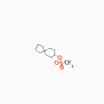 O=S(=O)(OC1CCC2(CCCC2)CC1)C(F)(F)F